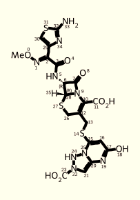 CON=C(C(=O)N[C@@H]1C(=O)N2C(C(=O)O)=C(CSC3=CC(O)=NC4=CN(C(=O)O)NN43)CS[C@H]12)c1csc(N)n1